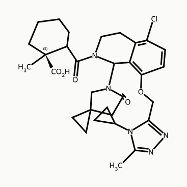 Cc1nnc(COc2ccc(Cl)c3c2C(N2CC4(CC4)CC2=O)N(C(=O)C2CCCC[C@]2(C)C(=O)O)CC3)n1C1CC1